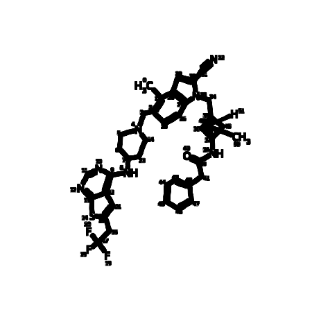 Cc1c(CN2CCC(Nc3ncnc4sc(CC(F)(F)F)cc34)CC2)ccc2c1cc(C#N)n2CC12CC(NC(=O)Cc3ccccc3)(C1)[C@H]2C